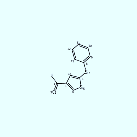 CC(=O)c1csc(Sc2ccccc2)c1